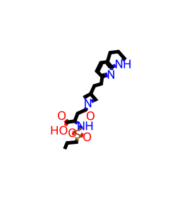 CCCS(=O)(=O)NC(CC(=O)N1CC(CCc2ccc3c(n2)NCCC3)C1)C(=O)O